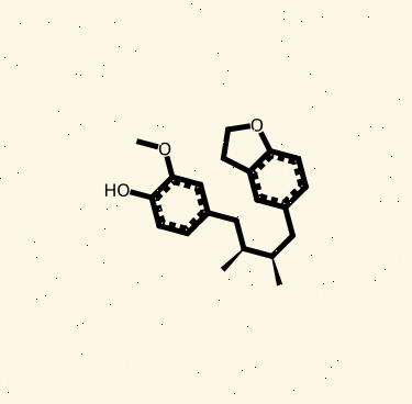 COc1cc(C[C@H](C)[C@H](C)Cc2ccc3c(c2)CCO3)ccc1O